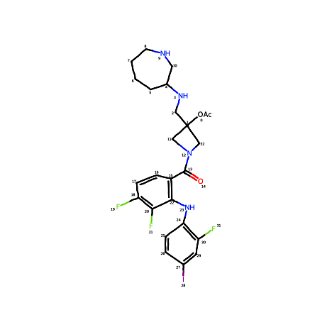 CC(=O)OC1(CNC2CCCCNC2)CN(C(=O)c2ccc(F)c(F)c2Nc2ccc(I)cc2F)C1